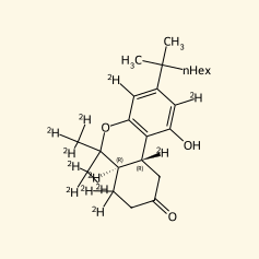 [2H]c1c(O)c2c(c([2H])c1C(C)(C)CCCCCC)OC(C([2H])([2H])[2H])(C([2H])([2H])[2H])[C@]1([2H])C([2H])([2H])CC(=O)C[C@@]21[2H]